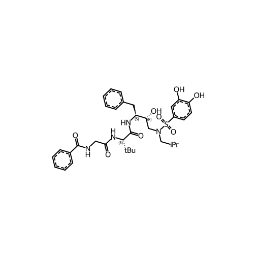 CC(C)CN(C[C@@H](O)[C@H](Cc1ccccc1)NC(=O)[C@@H](NC(=O)CNC(=O)c1ccccc1)C(C)(C)C)S(=O)(=O)c1ccc(O)c(O)c1